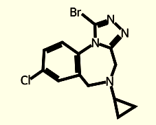 Clc1ccc2c(c1)CN(C1CC1)Cc1nnc(Br)n1-2